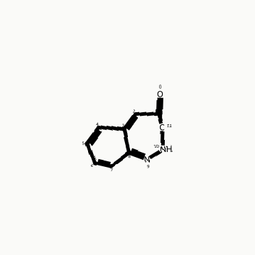 O=C1C=c2ccccc2=NNC1